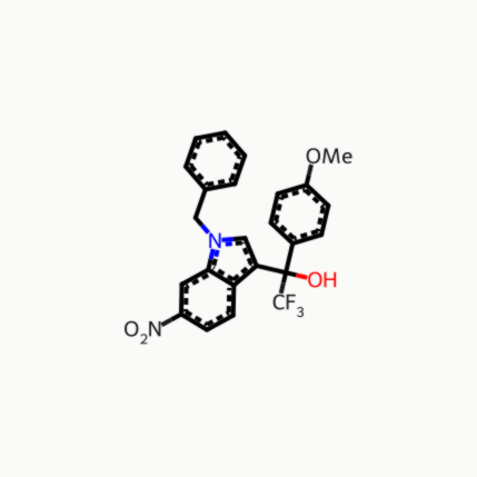 COc1ccc(C(O)(c2cn(Cc3ccccc3)c3cc([N+](=O)[O-])ccc23)C(F)(F)F)cc1